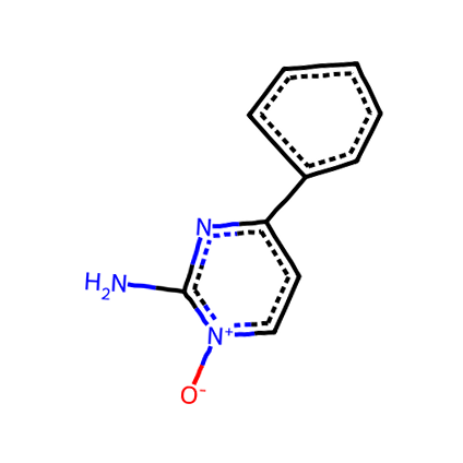 Nc1nc(-c2ccccc2)cc[n+]1[O-]